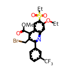 CCOc1cc2nc(-c3cccc(C(F)(F)F)c3)c(CBr)c(C(=O)OC)c2cc1S(=O)(=O)CC